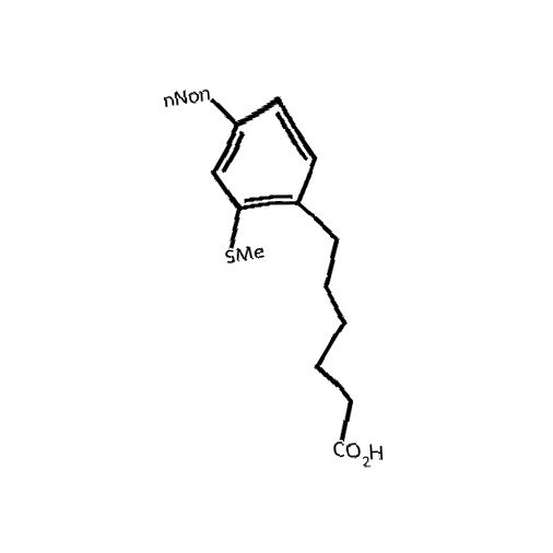 CCCCCCCCCc1ccc(CCCCCC(=O)O)c(SC)c1